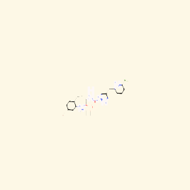 CN1C(=O)[C@H](NC(=O)n2cc(Cc3cccc(C(F)(F)F)n3)cn2)CCc2ccc(Br)cc21